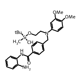 COc1ccc(N(CCO[Si](C)(C)C(C)(C)C)Cc2ccc(C(=O)Nc3ccccc3N)cc2)cc1OC